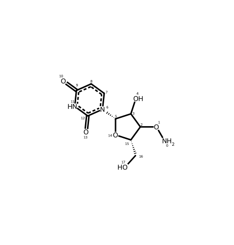 NOC1C(O)[C@@H](n2ccc(=O)[nH]c2=O)O[C@H]1CO